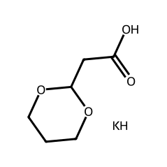 O=C(O)CC1OCCCO1.[KH]